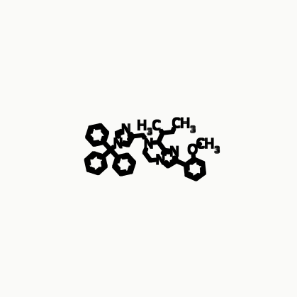 CCC(C)C1c2nc(-c3ccccc3OC)cn2CCN1Cc1cn(C(c2ccccc2)(c2ccccc2)c2ccccc2)cn1